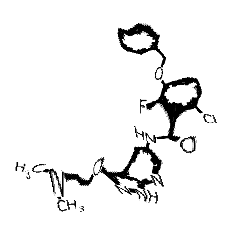 CN(C)CCOc1n[nH]c2ncc(NC(=O)c3c(Cl)ccc(OCc4ccccc4)c3F)cc12